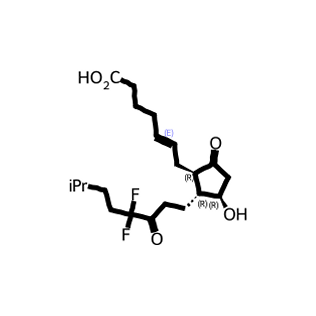 CC(C)CCC(F)(F)C(=O)CC[C@H]1[C@H](O)CC(=O)[C@@H]1C/C=C/CCCC(=O)O